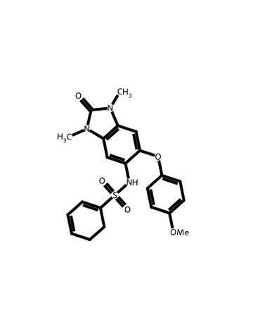 COc1ccc(Oc2cc3c(cc2NS(=O)(=O)C2=CC=CCC2)n(C)c(=O)n3C)cc1